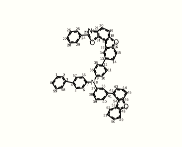 c1ccc(-c2ccc(N(c3ccc(-c4ccc5oc6ccc7nc(-c8ccccc8)oc7c6c5c4)cc3)c3cccc(-c4cccc5oc6ccccc6c45)c3)cc2)cc1